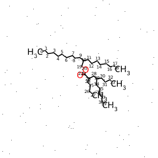 CCCCCCCCCCC(CCCCCCCC)COC(=O)C(CCCC)CC(CCCC)CCCCCC